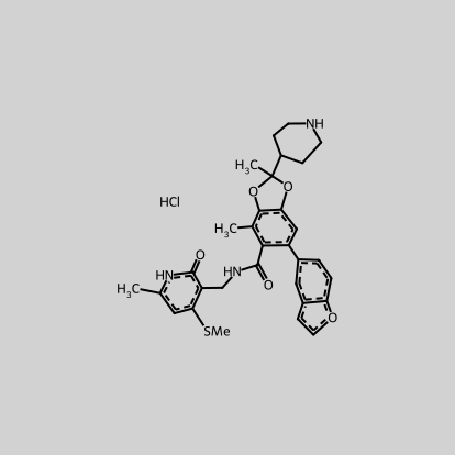 CSc1cc(C)[nH]c(=O)c1CNC(=O)c1c(-c2ccc3occc3c2)cc2c(c1C)OC(C)(C1CCNCC1)O2.Cl